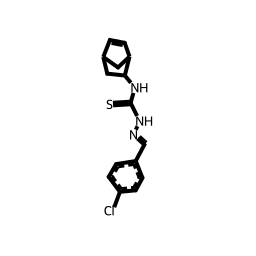 S=C(N/N=C/c1ccc(Cl)cc1)NC1CC2C=CC1C2